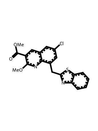 COC(=O)c1cc2cc(Cl)cc(Cc3nc4ccccc4s3)c2nc1OC